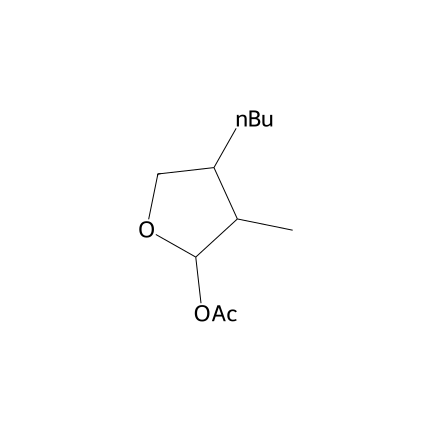 CCCCC1COC(OC(C)=O)C1C